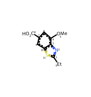 CCc1nc2c(OC)cc(C(=O)O)cc2s1